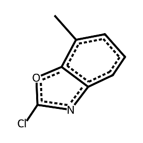 Cc1cccc2nc(Cl)oc12